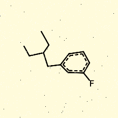 CCC(CC)Cc1cccc(F)c1